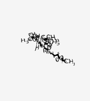 CCOC(=O)CCCNC(=O)CN(CCNC(=O)OC(C)(C)C)C(=O)OC(C)(C)C